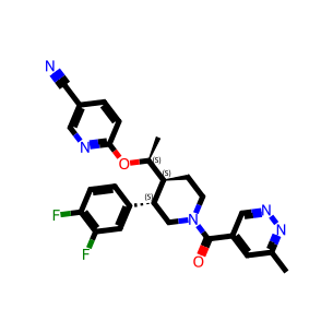 Cc1cc(C(=O)N2CC[C@H]([C@H](C)Oc3ccc(C#N)cn3)[C@@H](c3ccc(F)c(F)c3)C2)cnn1